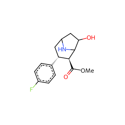 COC(=O)[C@@H]1C2NC(CC2O)C[C@H]1c1ccc(F)cc1